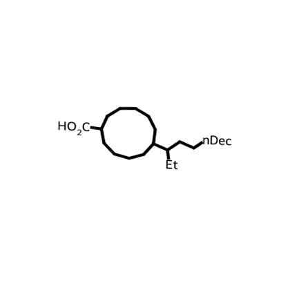 CCCCCCCCCCCCC(CC)C1CCCCCC(C(=O)O)CCCC1